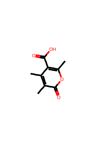 Cc1oc(=O)c(C)c(C)c1C(=O)O